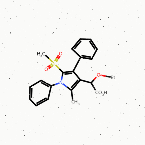 CCOC(C(=O)O)c1c(-c2ccccc2)c(S(C)(=O)=O)n(-c2ccccc2)c1C